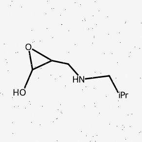 CC(C)CNCC1OC1O